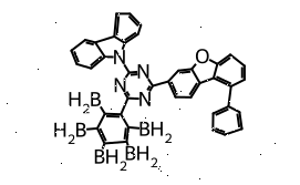 Bc1c(B)c(B)c(-c2nc(-c3ccc4c(c3)oc3cccc(-c5ccccc5)c34)nc(-n3c4ccccc4c4ccccc43)n2)c(B)c1B